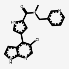 CN(Cc1cccnc1)C(=O)c1cc(-c2c(Cl)cnc3[nH]ccc23)c[nH]1